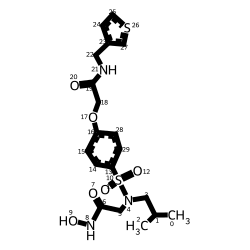 CC(C)CN(CC(=O)NO)S(=O)(=O)c1ccc(OCC(=O)NCc2ccsc2)cc1